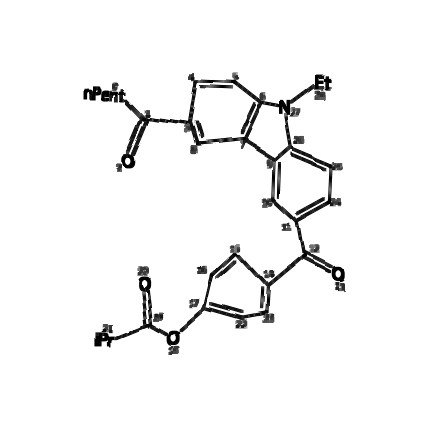 CCCCCC(=O)c1ccc2c(c1)c1cc(C(=O)c3ccc(OC(=O)C(C)C)cc3)ccc1n2CC